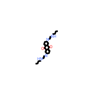 CCCCNC=CN=C1C=C2C(=O)C3=CCC(=NC=CNCCCC)C=C3C(=O)C2=CC1